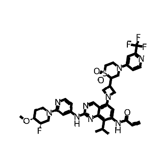 C=CC(=O)Nc1cc(N2CC(C3CN(c4ccnc(C(F)(F)F)c4)CCS3(=O)=O)C2)c2cnc(Nc3ccnc(N4CC[C@@H](OC)[C@@H](F)C4)c3)nc2c1C(C)C